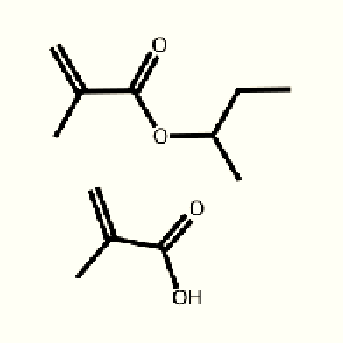 C=C(C)C(=O)O.C=C(C)C(=O)OC(C)CC